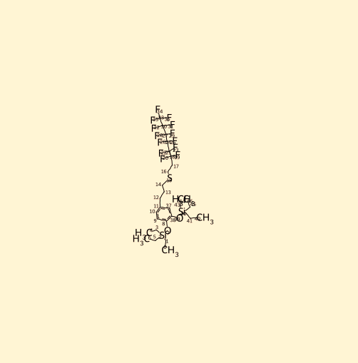 CC[Si](CC)(CC)Oc1ccc(CCCSCCC(F)(F)C(F)(F)C(F)(F)C(F)(F)C(F)(F)C(F)(F)F)cc1O[Si](CC)(CC)CC